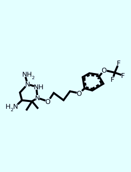 CC1(C)C(N)CN(N)NN1OCCCOc1ccc(OC(F)(F)F)cc1